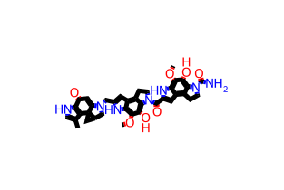 COc1c(O)c2c(c3cc(C(=O)N4CCc5c4c(O)c(OC)c4[nH]c(CN6CC7CC78C6=CC(=O)c6[nH]cc(C)c68)cc54)[nH]c13)CCN2C(N)=O